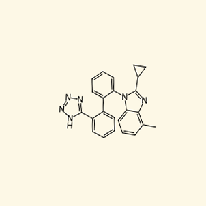 Cc1cccc2c1nc(C1CC1)n2-c1ccccc1-c1ccccc1-c1nnn[nH]1